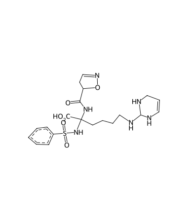 O=C(NC(CCCCNC1NC=CCN1)(NS(=O)(=O)c1ccccc1)C(=O)O)C1CC=NO1